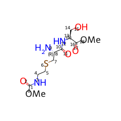 COC(=O)NCCSC[C@H](N)C(=O)N[C@@H](CO)C(=O)OC